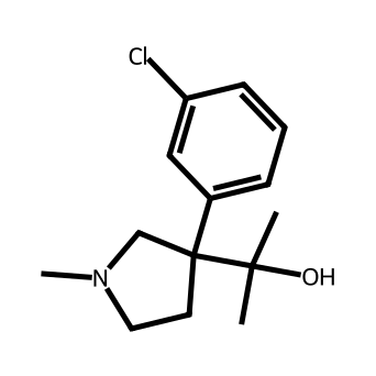 CN1CCC(c2cccc(Cl)c2)(C(C)(C)O)C1